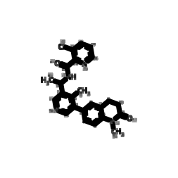 Cc1c(-c2ccc3c(c2)CCC(=O)N3C)cncc1C(C)NC(=O)c1ncccc1Cl